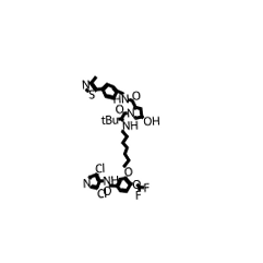 Cc1ncsc1-c1ccc(CNC(=O)C2CC(O)CN2C(=O)C(NCCCCCCCOc2cc(C(=O)Nc3c(Cl)cncc3Cl)ccc2OC(F)F)C(C)(C)C)cc1